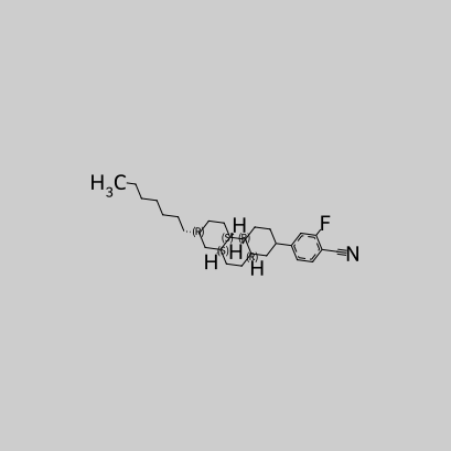 CCCCCCC[C@@H]1CC[C@H]2[C@@H](CC[C@@H]3CC(c4ccc(C#N)c(F)c4)CC[C@H]32)C1